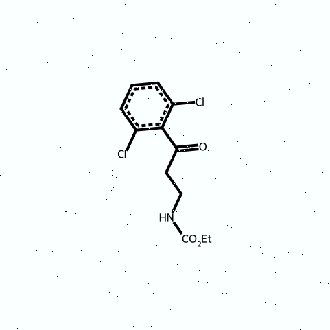 CCOC(=O)NCCC(=O)c1c(Cl)cccc1Cl